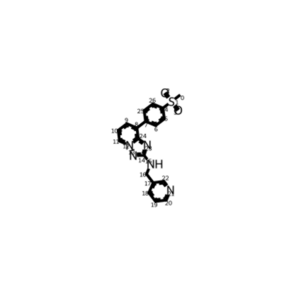 CS(=O)(=O)c1ccc(-c2cccn3nc(NCc4cccnc4)nc23)cc1